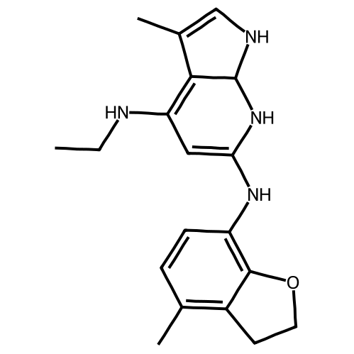 CCNC1=C2C(C)=CNC2NC(Nc2ccc(C)c3c2OCC3)=C1